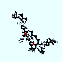 CCn1nccc1C(=O)NC(C(=O)Nc1ccc(-c2c(CC3CC3C(C3CC3)[C@H](NC(=O)c3ccnn3CC)C(=O)Nc3ccc(-c4c(CC5CC5C(C5CC5)[C@@H](NC(=O)c5ccnn5CC)C(=O)Nc5ccc(-c6c(C)n[nH]c6C)c(C)n5)n[nH]c4C)c(C)n3)nn(COCC[Si](C)(C)C)c2C)c(C)n1)C(C1CC1)C1CC1